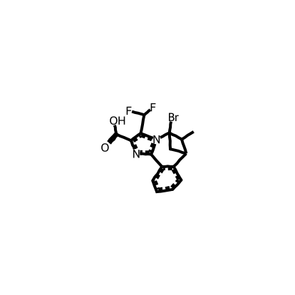 CC1C2CC1(Br)n1c(nc(C(=O)O)c1C(F)F)-c1ccccc12